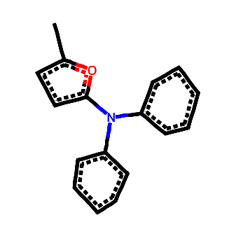 Cc1ccc(N(c2ccccc2)c2ccccc2)o1